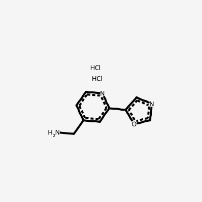 Cl.Cl.NCc1ccnc(-c2cnco2)c1